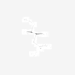 C[C@@H](N)CC(=N)C(=O)OC(C)(C)C